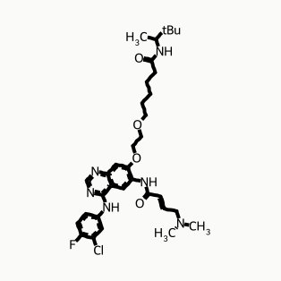 CC(NC(=O)CCCCCOCCOc1cc2ncnc(Nc3ccc(F)c(Cl)c3)c2cc1NC(=O)/C=C/CN(C)C)C(C)(C)C